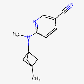 CN(c1ccc(C#N)cn1)C12CC(C)(C1)C2